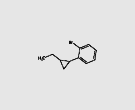 CCC1CC1c1ccccc1Br